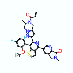 C=CC(=O)N1Cc2cc(-c3nc(-c4cnc5c(c4)CN(C)C5=O)c4ccsc4c3-c3c(F)cc(F)cc3OC(C)C)nn2CC1C